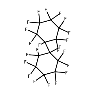 FC1(F)C(F)(F)C(F)(F)C(F)(C2(F)C(F)(F)C(F)(F)C(F)(F)C(F)(F)C2(F)F)C(F)(F)C1(F)F